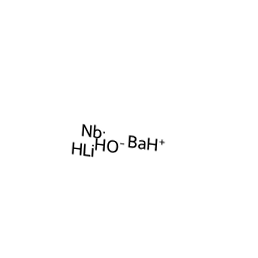 [BaH+].[LiH].[Nb].[OH-]